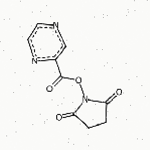 O=C(ON1C(=O)CCC1=O)c1cnccn1